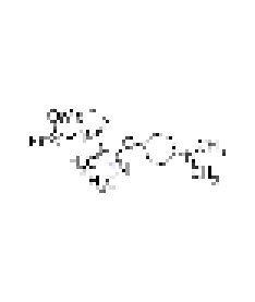 C=C(C1=CCC[C@@H]1C[C@@H](CC)OC)/C(=N\C)O[C@H]1CC[C@H](N(C)C)CC1